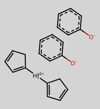 C1=CC[C]([Hf+2][C]2=CC=CC2)=C1.[O-]c1ccccc1.[O-]c1ccccc1